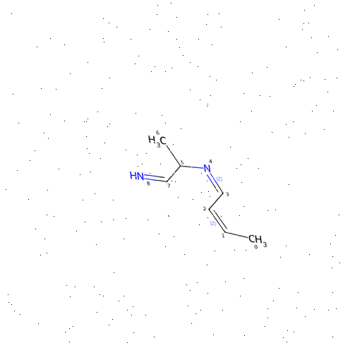 C/C=C\C=N/C(C)C=N